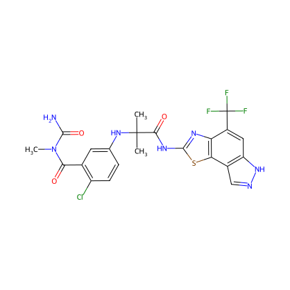 CN(C(N)=O)C(=O)c1cc(NC(C)(C)C(=O)Nc2nc3c(C(F)(F)F)cc4[nH]ncc4c3s2)ccc1Cl